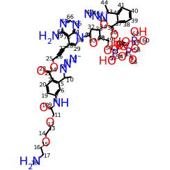 CC(N=[N+]=[N-])c1cc(NC(=O)COCCOCCN)ccc1C(=O)OCC#Cc1cn([C@H]2CC(OC(=O)c3ccccc3C(C)N=[N+]=[N-])[C@@H](COP(=O)(O)OP(=O)(O)OP(=O)(O)O)O2)c2ncnc(N)c12